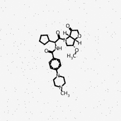 CO[C@@H]1CN(C(=O)[C@@H](NC(=O)c2ccc(N3CCN(C)CC3)cc2)C2CCCC2)[C@@H]2C(=O)CO[C@@H]21